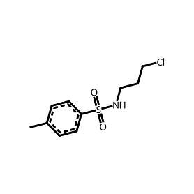 Cc1ccc(S(=O)(=O)NCCCCl)cc1